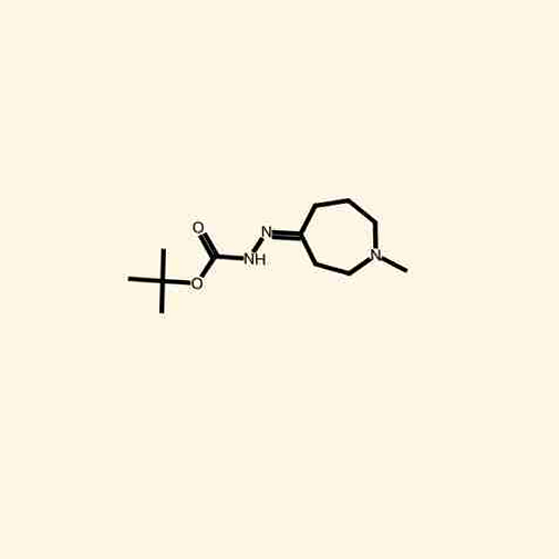 CN1CCC/C(=N/NC(=O)OC(C)(C)C)CC1